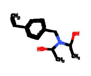 C=Cc1ccc(CN(C(C)O)C(C)O)cc1